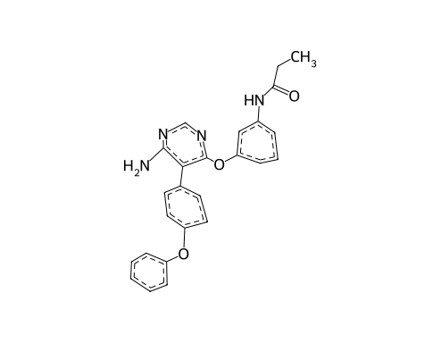 CCC(=O)Nc1cccc(Oc2ncnc(N)c2-c2ccc(Oc3ccccc3)cc2)c1